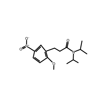 COc1ccc([N+](=O)[O-])cc1CCC(=O)N(C(C)C)C(C)C